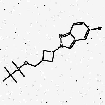 CC(C)(C)[Si](C)(C)OCC1CC(n2cc3cc(Br)ccc3n2)C1